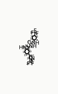 O=C(Nc1ccc(C(F)(F)F)cc1)Nc1c[nH]c2ccc(-c3cnn(C(F)F)c3)cc12